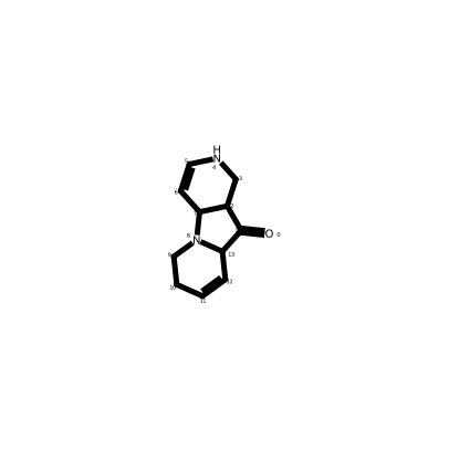 O=C1C2CNC=CC2N2CCC=CC12